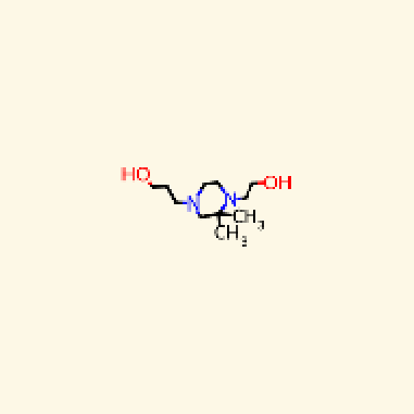 CC1(C)CN(CCCO)CCN1CCO